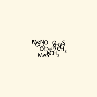 CNC(=O)c1c(-c2ccc(F)cc2)oc2cc(N(C)SC)c([C@@H]3CCCN(C(=O)c4cc5sccc5n4C)C3)cc12